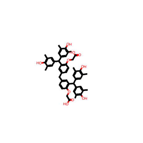 Cc1cc(C(c2cc(C)c(O)c(C)c2)c2cc(Cc3ccc(OCC(=O)O)c(C(c4cc(C)c(O)c(C)c4)c4cc(C)c(O)c(C)c4)c3)ccc2OCC(=O)O)cc(C)c1O